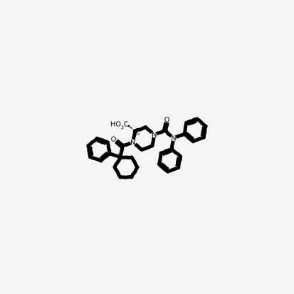 O=C(O)[C@@H]1CN(C(=O)N(c2ccccc2)c2ccccc2)CCN1C(=O)C1(c2ccccc2)CCCCC1